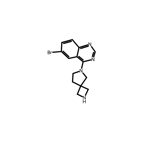 Brc1ccc2ncnc(N3CCC4(CNC4)C3)c2c1